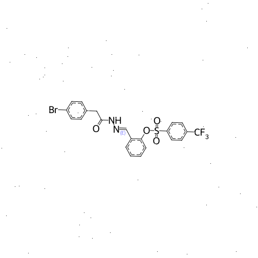 O=C(Cc1ccc(Br)cc1)N/N=C/c1ccccc1OS(=O)(=O)c1ccc(C(F)(F)F)cc1